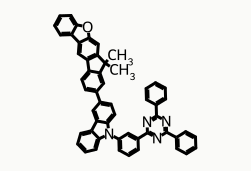 CC1(C)c2cc(-c3ccc4c(c3)c3ccccc3n4-c3cccc(-c4nc(-c5ccccc5)nc(-c5ccccc5)n4)c3)ccc2-c2cc3c(cc21)oc1ccccc13